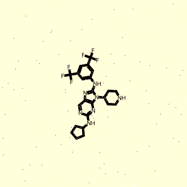 FC(F)(F)c1cc(Nc2nc3cnc(NC4CCCC4)nc3n2C2CCNCC2)cc(C(F)(F)F)c1